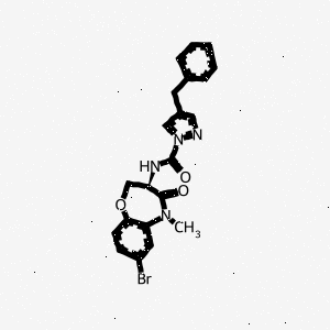 CN1C(=O)[C@H](NC(=O)n2cc(Cc3ccccc3)cn2)COc2ccc(Br)cc21